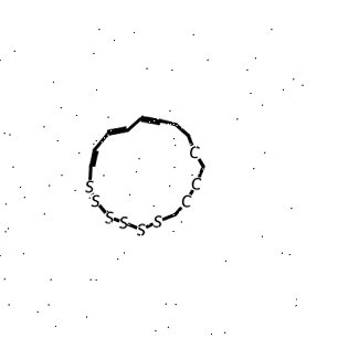 C1=C\SSSSSSCCCCCCC/C=C/C=C/1